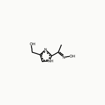 C/C(=N\O)c1nc(CO)c[nH]1